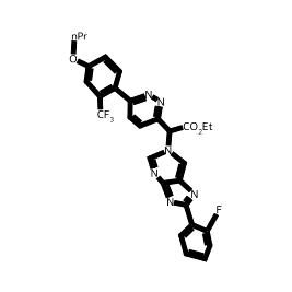 CCCOc1ccc(-c2ccc(C(C(=O)OCC)n3cnc4nc(-c5ccccc5F)nc-4c3)nn2)c(C(F)(F)F)c1